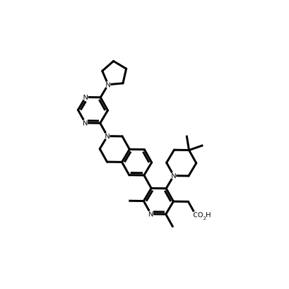 Cc1nc(C)c(-c2ccc3c(c2)CCN(c2cc(N4CCCC4)ncn2)C3)c(N2CCC(C)(C)CC2)c1CC(=O)O